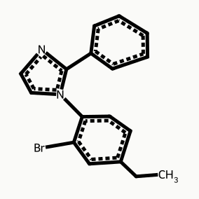 CCc1ccc(-n2ccnc2-c2ccccc2)c(Br)c1